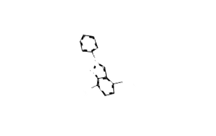 Cc1ccc(C)c2nn(-c3ccccc3)cc12